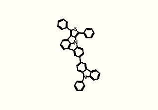 c1ccc(-c2sc(-c3ccccc3)c3c2c2cccc4c5cc(-c6ccc7c(c6)c6ccccc6n7-c6ccccc6)ccc5n3c42)cc1